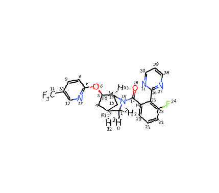 [2H]C1([2H])[C@H]2C[C@@H](Oc3ccc(C(F)(F)F)cn3)[C@H](C2)N1C(=O)c1cccc(F)c1-c1ncccn1